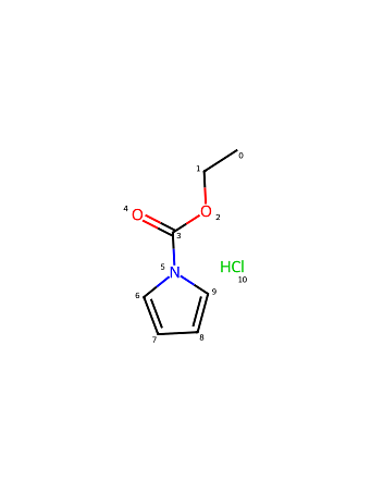 CCOC(=O)n1cccc1.Cl